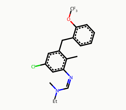 CCN(C)/C=N\c1cc(Cl)cc(Cc2ccccc2OC(F)(F)F)c1C